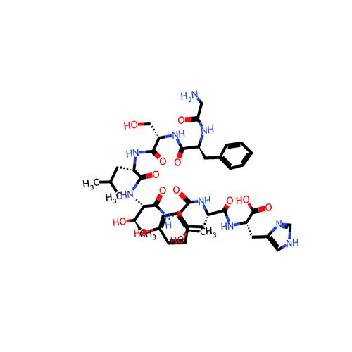 CC(C)C[C@H](NC(=O)[C@H](CO)NC(=O)[C@H](Cc1ccccc1)NC(=O)CN)C(=O)N[C@H](C(=O)N[C@H](C(=O)N[C@@H](Cc1ccc(O)cc1)C(=O)N[C@@H](Cc1c[nH]cn1)C(=O)O)[C@@H](C)O)[C@@H](C)O